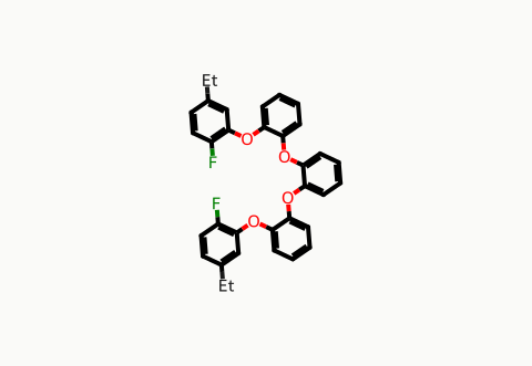 CCc1ccc(F)c(Oc2ccccc2Oc2ccccc2Oc2ccccc2Oc2cc(CC)ccc2F)c1